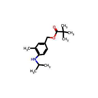 Cc1cc(COC(=O)C(C)(C)C)ccc1NC(C)C